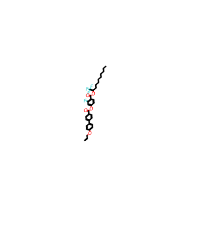 C=CCOc1ccc(-c2ccc(C(=O)Oc3ccc(C(=O)OC(CCCCCCCCC)C(F)(F)F)c(F)c3)cc2)cc1